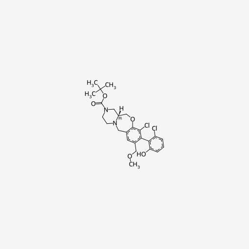 COCc1cc2c(c(Cl)c1-c1c(O)cccc1Cl)OC[C@H]1CN(C(=O)OC(C)(C)C)CCN1C2